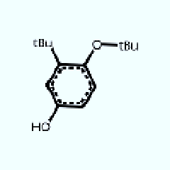 CC(C)(C)Oc1ccc(O)cc1C(C)(C)C